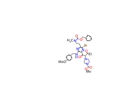 CCC(=O)C(C(=O)c1nc(Br)c(CCN(C)C(=O)OCc2ccccc2)nc1NCc1ccc(OC)cc1)N1CCN(C(=O)OC(C)(C)C)CC1